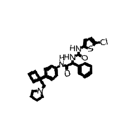 O=C(Nc1ccc(Cl)s1)NC(C(=O)Nc1ccc(C2(CN3CCCC3)CCC2)cc1)c1ccccc1